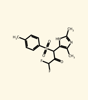 Cc1ccc(S(=O)(=O)C(C(=O)C(F)F)c2[nH]c(C)nc2C)cc1